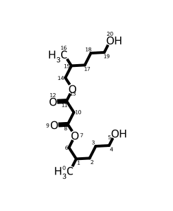 CC(CCCO)COC(=O)CC(=O)OCC(C)CCCO